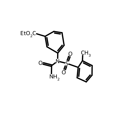 CCOC(=O)c1cccc(N(C(N)=O)S(=O)(=O)c2ccccc2C)c1